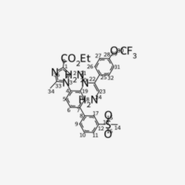 CCOC(=O)c1cn(-c2ccc(-c3cccc(S(C)(=O)=O)c3)cc2N(N)/C(=C\N)c2ccc(OC(F)(F)F)cc2)c(C)n1